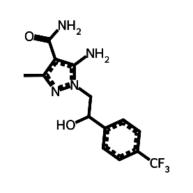 Cc1nn(CC(O)c2ccc(C(F)(F)F)cc2)c(N)c1C(N)=O